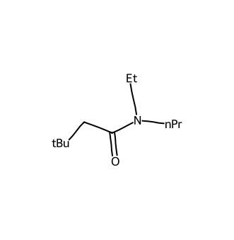 CCCN(CC)C(=O)CC(C)(C)C